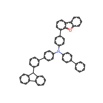 c1ccc(-c2ccc(N(c3ccc(-c4cccc(C5c6ccccc6-c6ccccc65)c4)cc3)c3ccc(-c4cccc5c4oc4ccccc45)cc3)cc2)cc1